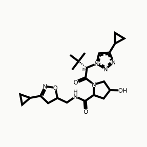 CC(C)(C)[C@@H](C(=O)N1CC(O)CC1C(=O)NCC1CC(C2CC2)=NO1)n1cc(C2CC2)nn1